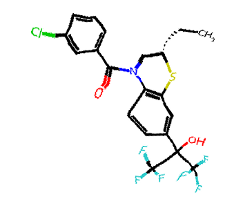 CC[C@H]1CN(C(=O)c2cccc(Cl)c2)c2ccc(C(O)(C(F)(F)F)C(F)(F)F)cc2S1